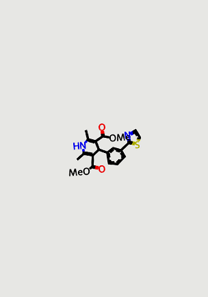 COC(=O)C1=C(C)NC(C)=C(C(=O)OC)C1c1cccc(-c2nccs2)c1